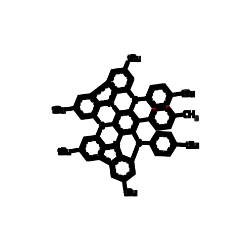 Cc1ccc(-c2c3c4c5c6c2B(c2ccc(C(C)(C)C)cc2)c2cc(C(C)(C)C)cc7c8cc(C(C)(C)C)cc(c8n-6c27)B5c2cc(C(C)(C)C)cc5c6cc(C(C)(C)C)cc(c6n-4c25)B3c2ccc(C(C)(C)C)cc2)cc1